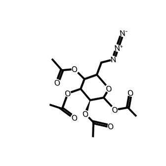 CC(=O)OC1C(CN=[N+]=[N-])OC(OC(C)=O)[C@@H](OC(C)=O)C1OC(C)=O